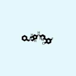 Fc1ccc(Cl)c(-c2ccc(NC3C[C@@H]4CN(CC5CCCCC5)C[C@@H]4C3)nn2)c1